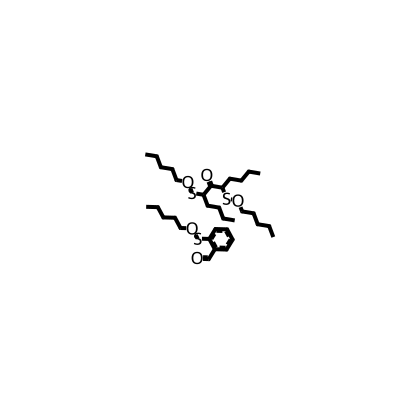 CCCCCOSC(CCCC)C(=O)C(CCCC)SOCCCCC.CCCCCOSc1ccccc1C=O